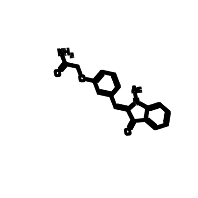 CC(=O)N1C(=Cc2cccc(OCC(N)=O)c2)C(=O)c2ccccc21